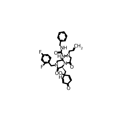 C=CCN1CC(=O)N2[C@@H](CC3(O)C=CC(=O)C=C3)C(=O)N(Cc3ccc(F)cc3F)C[C@@H]2N1C(=O)NCc1ccccc1